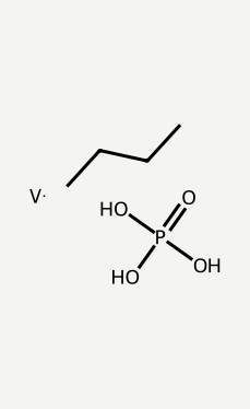 CCCC.O=P(O)(O)O.[V]